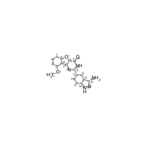 COc1cccc2oc3c(=O)[nH]c(-c4ccc5[nH]nc(N)c5c4)nc3c12